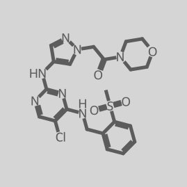 CS(=O)(=O)c1ccccc1CNc1nc(Nc2cnn(CC(=O)N3CCOCC3)c2)ncc1Cl